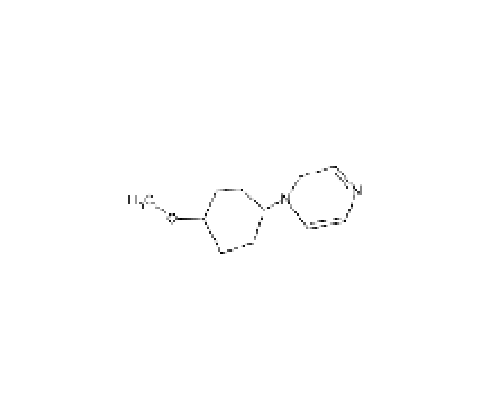 COC1CCC(N2C=CN=CC2)CC1